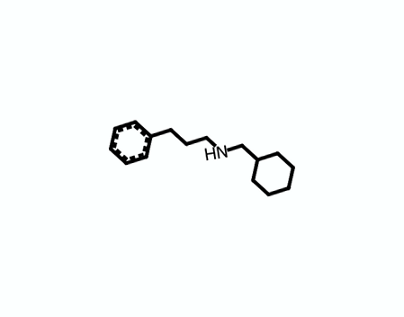 c1ccc(CCCNCC2CCCCC2)cc1